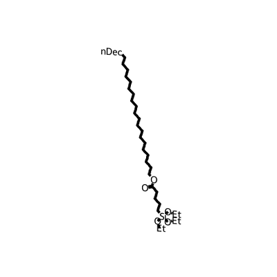 CCCCCCCCCCCCCCCCCCCCCCCCCCCCCCOC(=O)CCCC[Si](OCC)(OCC)OCC